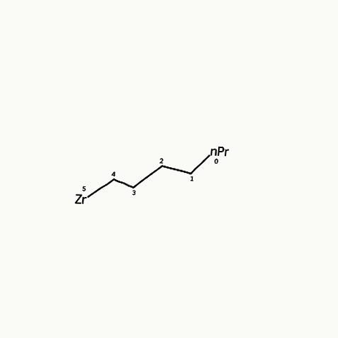 CCCCCC[CH2][Zr]